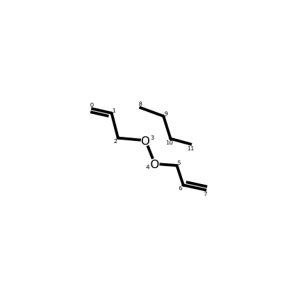 C=CCOOCC=C.CCCC